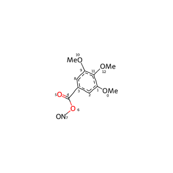 COc1cc(C(=O)ON=O)cc(OC)c1OC